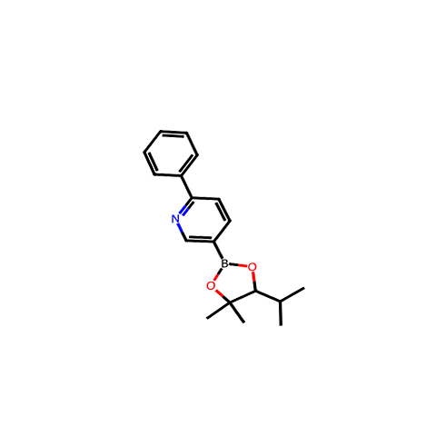 CC(C)C1OB(c2ccc(-c3ccccc3)nc2)OC1(C)C